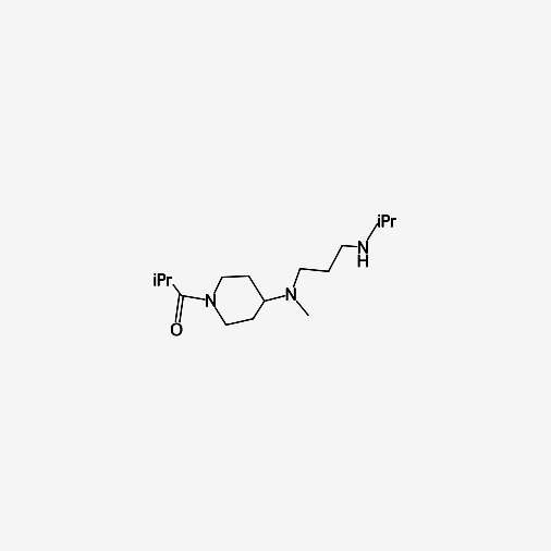 CC(C)NCCCN(C)C1CCN(C(=O)C(C)C)CC1